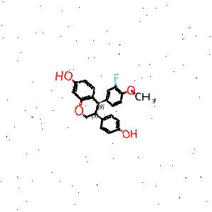 COc1ccc([C@@H]2c3ccc(O)cc3OC[C@@H]2c2ccc(O)cc2)cc1F